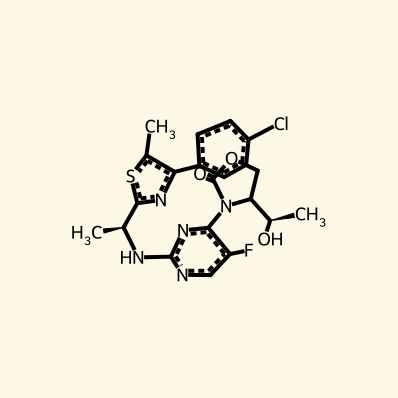 Cc1sc([C@H](C)Nc2ncc(F)c(N3C(=O)OCC3[C@@H](C)O)n2)nc1-c1ccc(Cl)cc1